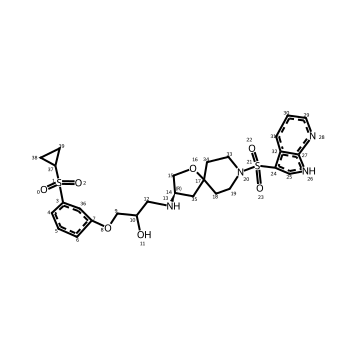 O=S(=O)(c1cccc(OCC(O)CN[C@H]2COC3(CCN(S(=O)(=O)c4c[nH]c5ncccc45)CC3)C2)c1)C1CC1